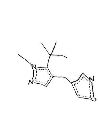 Cn1ncc(-c2cnoc2)c1C(C)(C)C